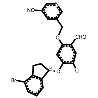 N#Cc1cncc(COc2cc(O[C@H]3CCc4c(Br)cccc43)c(Cl)cc2C=O)c1